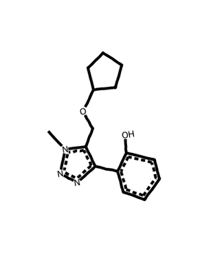 Cn1nnc(-c2ccccc2O)c1COC1CCCC1